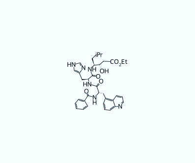 CCOC(=O)C[C@H](O)[C@H](CC(C)C)NC(=O)[C@H](Cc1c[nH]cn1)NC(=O)[C@H](Cc1cccc2ncccc12)NC(=O)c1ccccc1